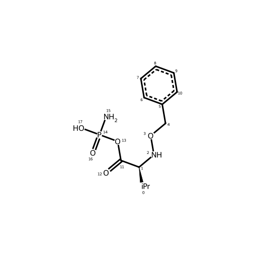 CC(C)[C@H](NOCc1ccccc1)C(=O)OP(N)(=O)O